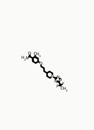 CC1=CC(OCCCC2CCN(c3noc(C(C)(F)F)n3)CC2)CC=C1C(N)=O